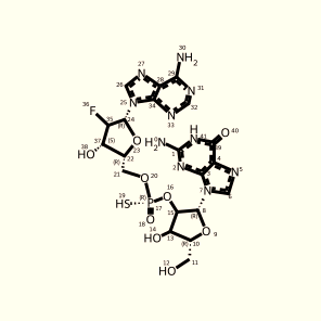 Nc1nc2c(ncn2[C@@H]2O[C@H](CO)C(O)C2O[P@](=O)(S)OC[C@H]2O[C@@H](n3cnc4c(N)ncnc43)C(F)[C@H]2O)c(=O)[nH]1